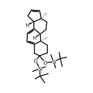 CC(C)(C)[Si](C)(C)OC1(O[Si](C)(C)C(C)(C)C)CC[C@@]2(C)C(=CC=C3[C@@H]4CC=C[C@@]4(C)CC[C@@H]32)C1